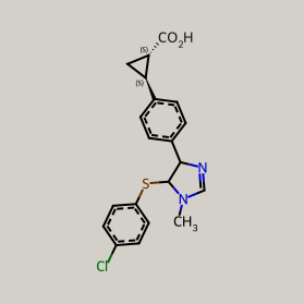 CN1C=NC(c2ccc([C@H]3C[C@@H]3C(=O)O)cc2)C1Sc1ccc(Cl)cc1